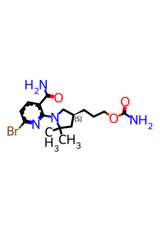 CC1(C)C[C@H](CCCOC(N)=O)CN1c1nc(Br)ccc1C(N)=O